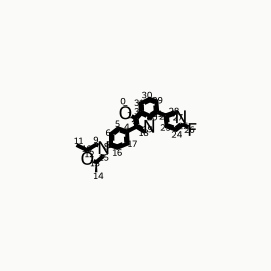 COc1c(-c2ccc(N3CC(C)O[C@H](C)C3)cc2)cnc2c(-c3ccc(F)nc3)cccc12